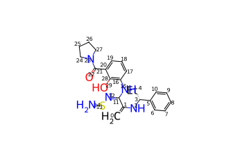 C=C(N[C@H](CC)c1ccccc1)/C(=N\SN)Nc1cccc(C(=O)N2CCCC2)c1O